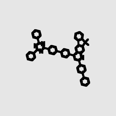 CC1(C)c2ccccc2-c2cc3c(-c4ccc(-c5ccc(-c6nc(-c7ccccc7)nc(-c7ccccc7)n6)cc5)cc4)cc(-c4ccc(-c5ccccc5)cc4)nc3cc21